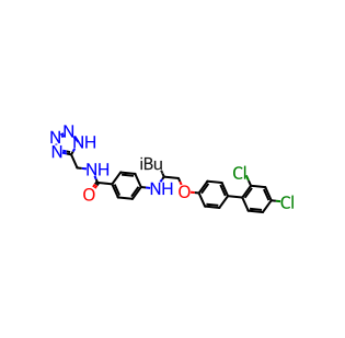 CCC(C)C(COc1ccc(-c2ccc(Cl)cc2Cl)cc1)Nc1ccc(C(=O)NCc2nnn[nH]2)cc1